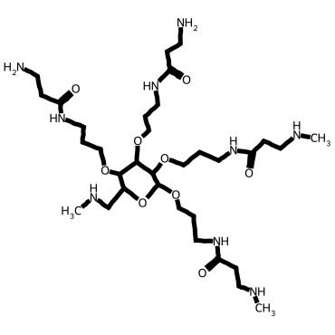 CNCCC(=O)NCCCOC1OC(CNC)C(OCCCNC(=O)CCN)C(OCCCNC(=O)CCN)C1OCCCNC(=O)CCNC